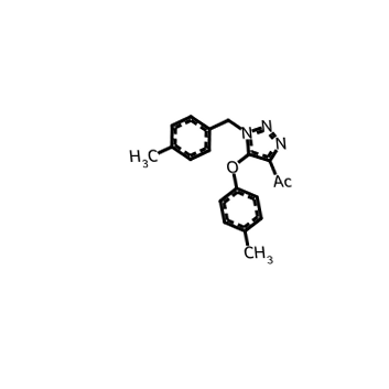 CC(=O)c1nnn(Cc2ccc(C)cc2)c1Oc1ccc(C)cc1